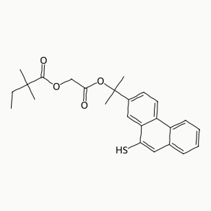 CCC(C)(C)C(=O)OCC(=O)OC(C)(C)c1ccc2c(c1)c(S)cc1ccccc12